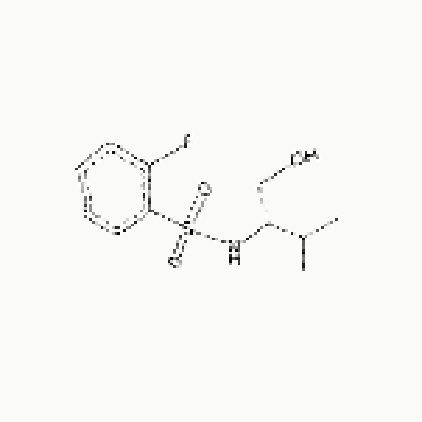 CC(C)[C@@H](CO)NS(=O)(=O)c1ccccc1F